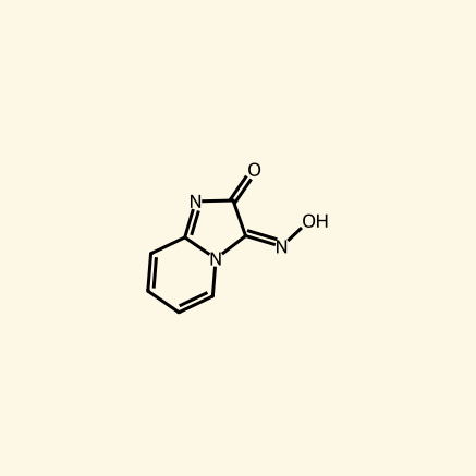 O=C1N=C2C=CC=CN2C1=NO